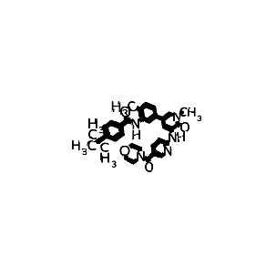 Cc1ccc(-c2cc(Nc3ccc(C(=O)N4CCOCC4)cn3)c(=O)n(C)c2)cc1NC(=O)c1ccc(C(C)(C)C)cc1